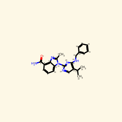 Cc1nc2c(C(N)=O)cccc2n1-c1ncc(C(C)C)c(NCc2ccccc2)n1